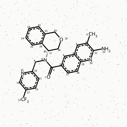 Cc1cc2cc(C(=O)N(Cc3ccc(C(F)(F)F)cn3)[C@H]3COCc4ccccc43)ccc2nc1N